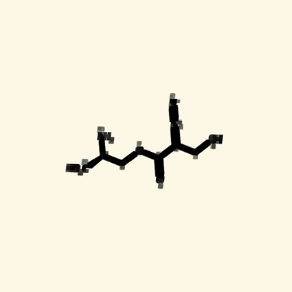 [N-]=[N+]=C(CO)C(=O)OC[C@H](N)C(=O)O